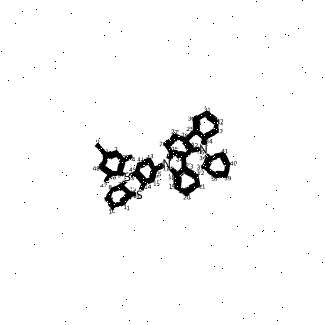 Cc1cc(C)c(B2c3ccccc3Sc3cc(-n4c5ccccc5c5c4ccc4c6ccccc6n(-c6ccccc6)c45)ccc32)c(C)c1